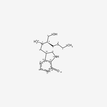 CCSC[C@H](CO)N(C)CC1CNc2c1nc[nH]c2=O